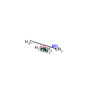 C=C(C)C(=O)N(C)C.CCCCCCCCCCCCCCCCCC(N)CCC.Cl